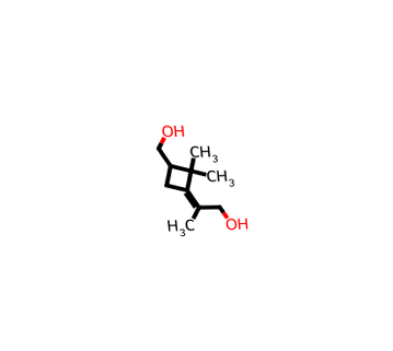 C/C(CO)=C1\CC(CO)C1(C)C